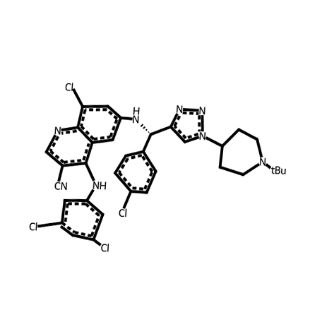 CC(C)(C)N1CCC(n2cc([C@@H](Nc3cc(Cl)c4ncc(C#N)c(Nc5cc(Cl)cc(Cl)c5)c4c3)c3ccc(Cl)cc3)nn2)CC1